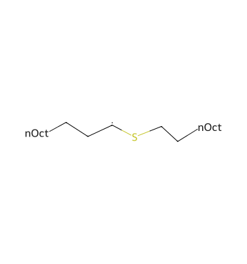 CCCCCCCCCC[CH]SCCCCCCCCCC